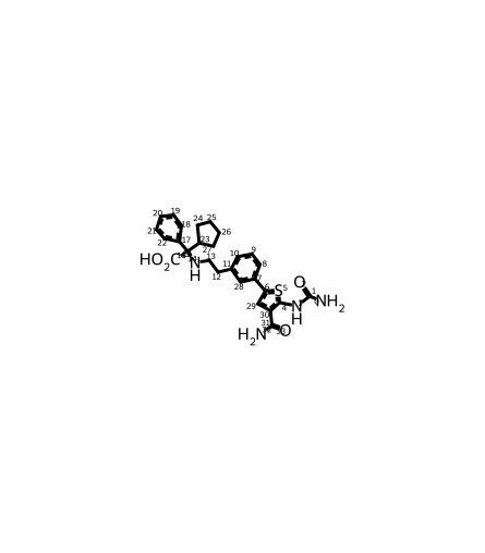 NC(=O)Nc1sc(-c2cccc(CCN[C@](C(=O)O)(c3ccccc3)C3CCCC3)c2)cc1C(N)=O